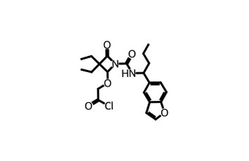 CCCC(NC(=O)N1C(=O)C(CC)(CC)C1OCC(=O)Cl)c1ccc2occc2c1